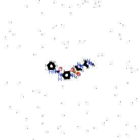 CN(c1ccc(NC(=O)Nc2ccccc2)cc1)S(=O)(=O)c1cnn(-c2cnn(C)c2)c1